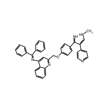 CN/C=C(\C(=N)c1ccc(OCc2cc(N=C(c3ccccc3)c3ccccc3)c3ccccc3n2)cc1)c1ccncc1